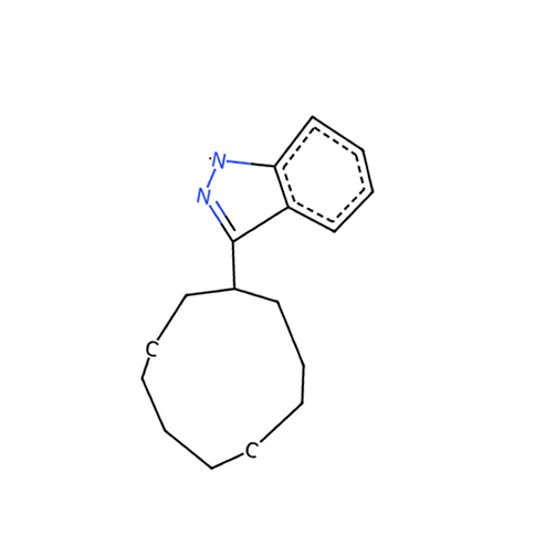 c1ccc2c(c1)[N]N=C2C1CCCCCCCCC1